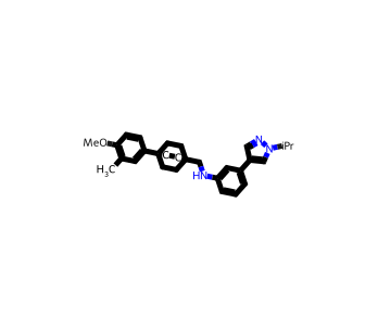 COc1ccc(C23CCC(CNc4cccc(-c5cnn(C(C)C)c5)c4)(CC2)CC3)cc1C